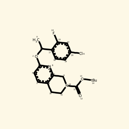 CC(Oc1ccc2c(n1)CN(C(=O)OC(C)(C)C)CC2)c1ccc(Cl)cc1F